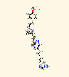 FC(F)(F)Oc1ccc(C=Cc2nc(COc3ncc(CCCCc4c[nH]nn4)cn3)co2)cc1